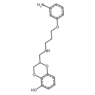 Nc1cccc(OCCCNCC2COc3c(O)cccc3O2)c1